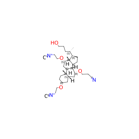 [C-]#[N+]CCO[C@@H]1CC[C@@]2(C)[C@@H](C1)C[C@@H](OCCC#N)[C@@H]1[C@@H]2C[C@H](OCC[N+]#[C-])[C@]2(C)[C@@H]([C@@H](C)CCCO)CC[C@@H]12